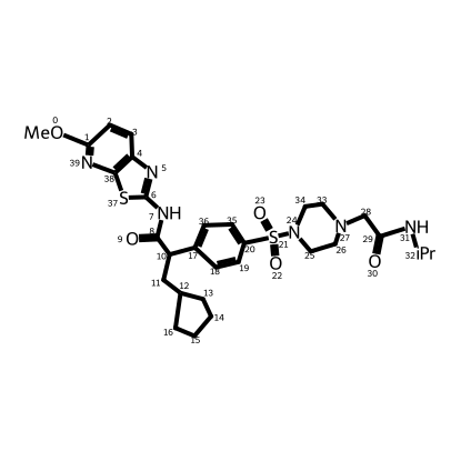 COc1ccc2nc(NC(=O)C(CC3CCCC3)c3ccc(S(=O)(=O)N4CCN(CC(=O)NC(C)C)CC4)cc3)sc2n1